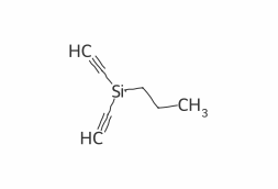 C#C[Si](C#C)CCC